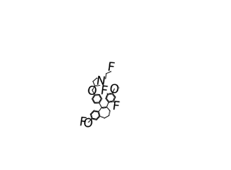 COc1cc(F)c(C2=C(c3ccc(O[C@H]4CCN(CCCF)C4)cc3)c3ccc(OF)cc3CCC2)cc1F